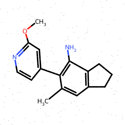 COc1cc(-c2c(C)cc3c(c2N)CCC3)ccn1